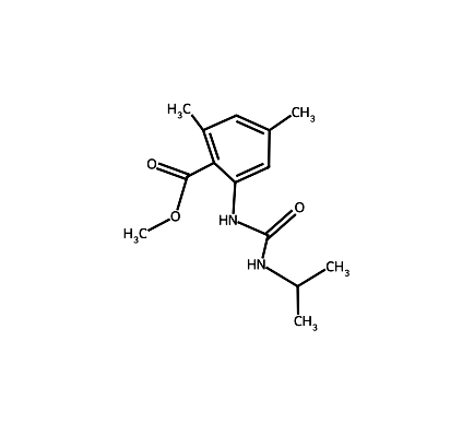 COC(=O)c1c(C)cc(C)cc1NC(=O)NC(C)C